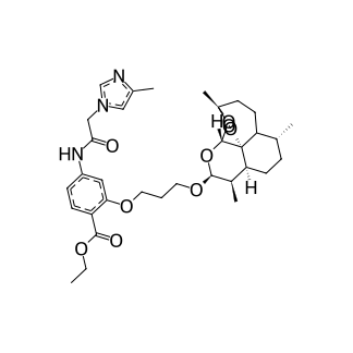 CCOC(=O)c1ccc(NC(=O)Cn2cnc(C)c2)cc1OCCCO[C@H]1O[C@@H]2O[C@@]3(C)CCC4[C@H](C)CC[C@@H]([C@H]1C)[C@]42OO3